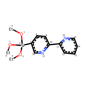 CCO[Si](OCC)(OCC)c1ccc(-c2ccccn2)nc1